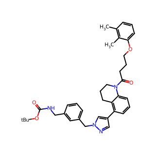 Cc1cccc(OCCCC(=O)N2CCCc3c(-c4cnn(Cc5cccc(CNC(=O)OC(C)(C)C)c5)c4)cccc32)c1C